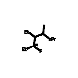 CCCC(C)C(CC)[C@@H](F)CC